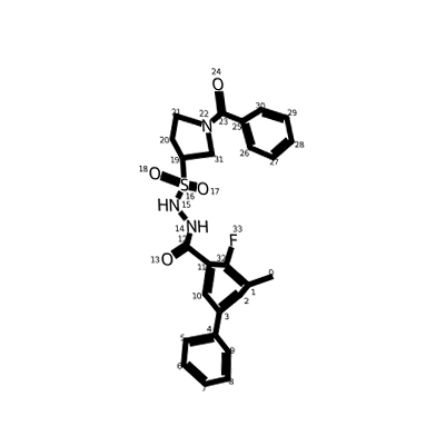 Cc1cc(-c2ccccc2)cc(C(=O)NNS(=O)(=O)C2CCN(C(=O)c3ccccc3)C2)c1F